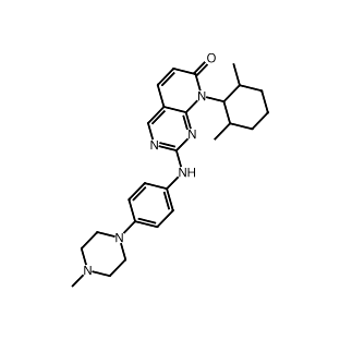 CC1CCCC(C)C1n1c(=O)ccc2cnc(Nc3ccc(N4CCN(C)CC4)cc3)nc21